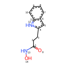 O=C(CCc1cc2ccccc2[nH]1)NO